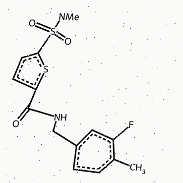 CNS(=O)(=O)c1ccc(C(=O)NCc2ccc(C)c(F)c2)s1